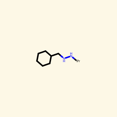 CC(C)NNCC1CCCCC1